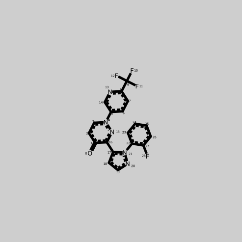 O=c1ccn(-c2ccc(C(F)(F)F)nc2)nc1-c1ccnn1-c1ccccc1F